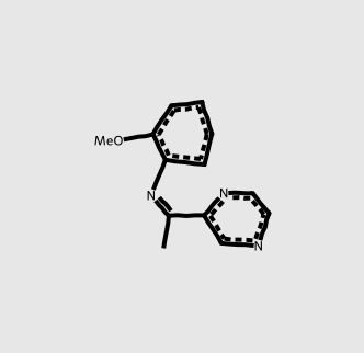 COc1ccccc1N=C(C)c1cnccn1